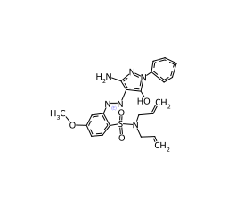 C=CCN(CC=C)S(=O)(=O)c1ccc(OC)cc1/N=N/c1c(N)nn(-c2ccccc2)c1O